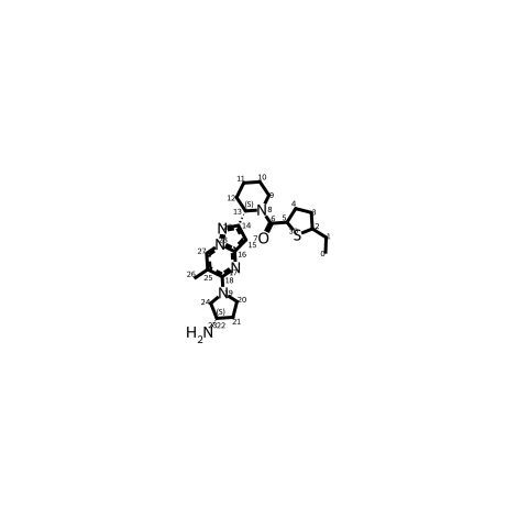 CCC1CCC(C(=O)N2CCCC[C@H]2c2cc3nc(N4CC[C@H](N)C4)c(C)cn3n2)S1